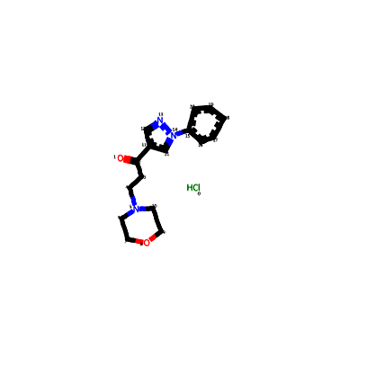 Cl.O=C(CCN1CCOCC1)c1cnn(-c2ccccc2)c1